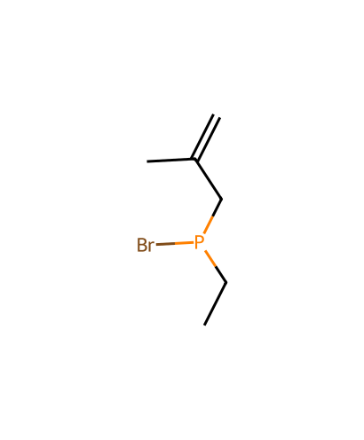 C=C(C)CP(Br)CC